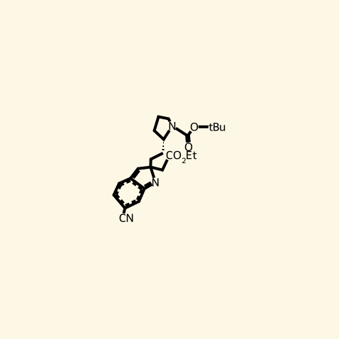 CCOC(=O)CC1(CC[C@@H]2CCCN2C(=O)OC(C)(C)C)C=c2ccc(C#N)cc2=N1